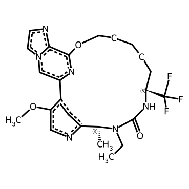 CCN1C(=O)N[C@H](C(F)(F)F)CCCCCOc2nc(cn3ccnc23)-c2cc(ncc2OC)[C@H]1C